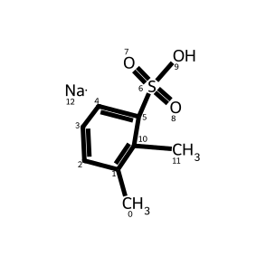 Cc1cccc(S(=O)(=O)O)c1C.[Na]